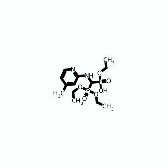 CCOP(=O)(O)C(Nc1cc(C)ccn1)P(=O)(OCC)OCC